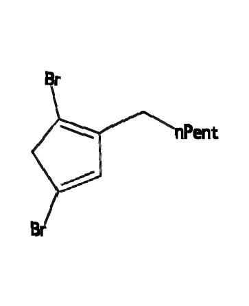 CCCCCCC1=C(Br)CC(Br)=C1